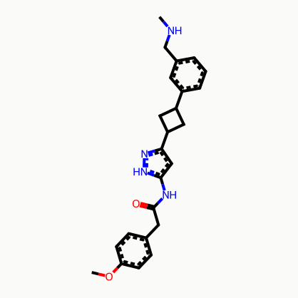 CNCc1cccc(C2CC(c3cc(NC(=O)Cc4ccc(OC)cc4)[nH]n3)C2)c1